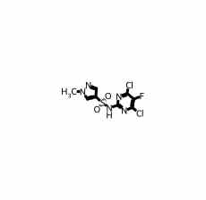 Cn1cc(S(=O)(=O)Nc2nc(Cl)c(F)c(Cl)n2)cn1